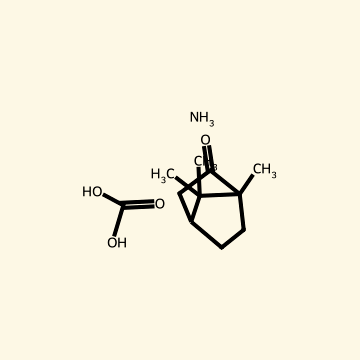 CC12CCC(CC1=O)C2(C)C.N.O=C(O)O